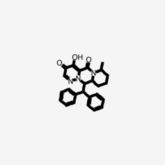 CC1CCCC2C(C(c3ccccc3)c3ccccc3)n3ncc(=O)c(O)c3C(=O)N12